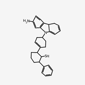 Nc1ccc2c(c1)N(C1CC=C(C3CCCC(c4ccccc4)C3S)CC1)C1=CC=CCC12